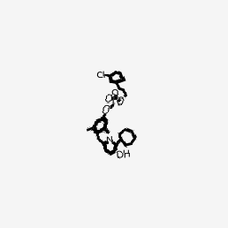 Cc1cc(OCP2(=O)OCCC(c3cccc(Cl)c3)O2)cc(C)c1Cc1ccc(O)c(C2CCCCCC2)n1